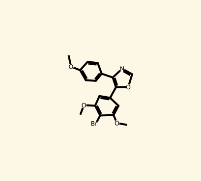 COc1ccc(-c2ncoc2-c2cc(OC)c(Br)c(OC)c2)cc1